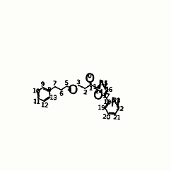 O=C(CCOCCCc1ccccc1)c1ncc(-c2ccccn2)o1